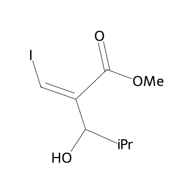 COC(=O)/C(=C\I)C(O)C(C)C